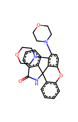 O=C1NC2(c3ccccc3Oc3ccc(N4CCOCC4)c(N4CCOCC4)c32)c2ccccc21